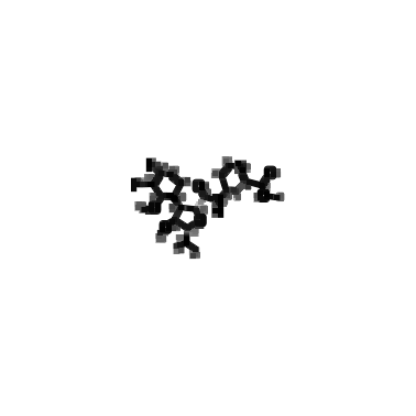 COC(=O)c1cc(NC(=O)[C@@H]2O[C@@H](C(C)C)[C@@H](OC)[C@H]2c2ccc(F)c(F)c2OC)ccn1